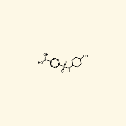 O=S(=O)(NC1CCC(O)CC1)c1ccc(B(O)O)cc1